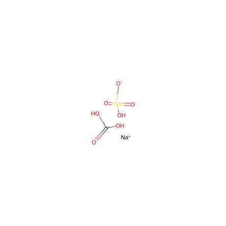 O=C(O)O.O=S(=O)([O-])O.[Na+]